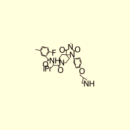 Cc1ccc(F)c(C(=O)N[C@@H](C(=O)N2CCC3(CC2)C(=O)N(C)C(=O)N3c2ccc(OCC3CNC3)cc2)C(C)C)c1